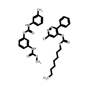 CCCCCCCCSC(=O)Oc1cc(Cl)nnc1-c1ccccc1.COC(=O)Nc1cccc(OC(=O)Nc2cccc(C)c2)c1